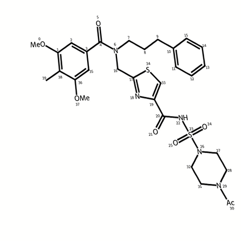 COc1cc(C(=O)N(CCCc2ccccc2)Cc2nc(C(=O)NS(=O)(=O)N3CCN(C(C)=O)CC3)cs2)cc(OC)c1C